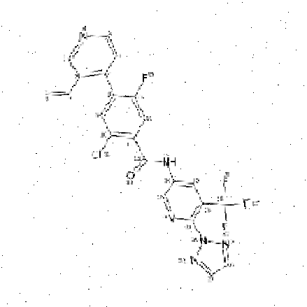 C=Cc1cnccc1-c1cc(Cl)c(C(=O)Nc2cnc(-n3nccn3)c(C(F)(F)F)c2)cc1F